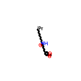 CC(C)CCCC=CCCCCNC(=O)C=CC=Cc1ccc2c(c1)OCO2